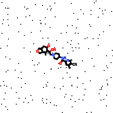 CC1=C2COC=C2CC(=O)C1[C@@H](O)CN1CCC(NC(=O)c2cc(C)c(C#N)cn2)CC1